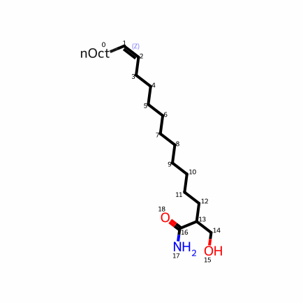 CCCCCCCC/C=C\CCCCCCCCCCC(CO)C(N)=O